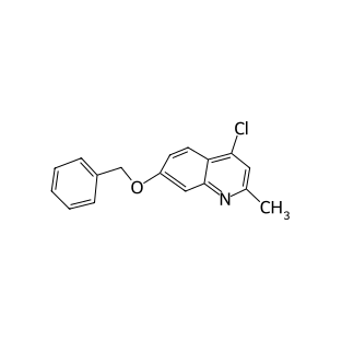 Cc1cc(Cl)c2ccc(OCc3ccccc3)cc2n1